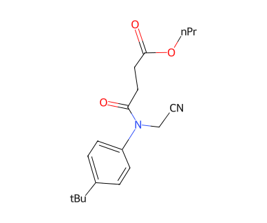 CCCOC(=O)CCC(=O)N(CC#N)c1ccc(C(C)(C)C)cc1